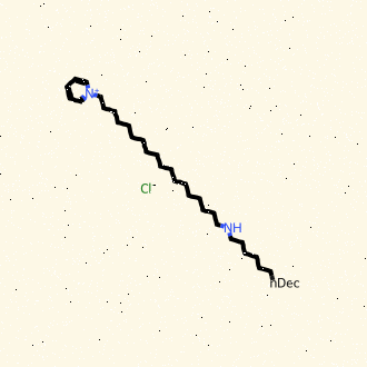 CCCCCCCCCCCCCCCCNCCCCCCCCCCCCCCCCCC[n+]1ccccc1.[Cl-]